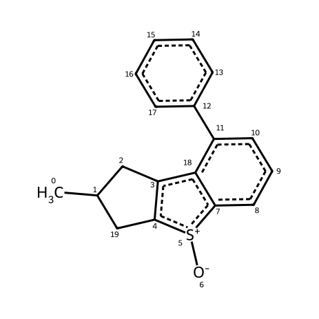 CC1Cc2c([s+]([O-])c3cccc(-c4ccccc4)c23)C1